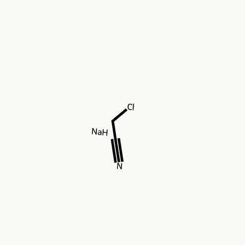 N#CCCl.[NaH]